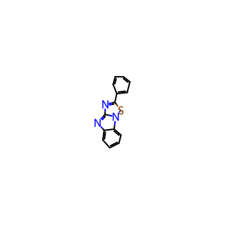 c1ccc(-c2nc3nc4ccccc4n3s2)cc1